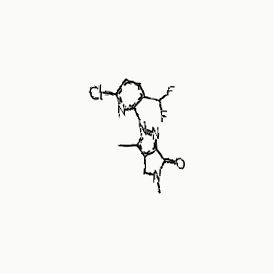 Cc1c2c(nn1-c1nc(Cl)ccc1C(F)F)C(=O)N(C)C2